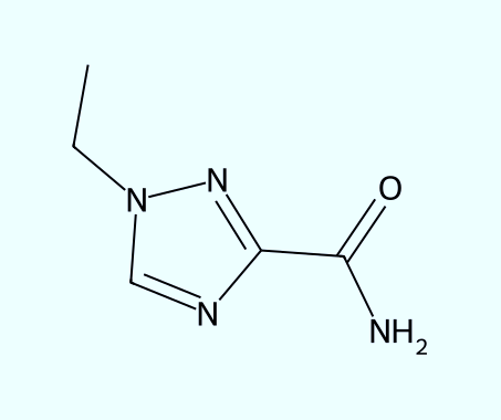 CCn1cnc(C(N)=O)n1